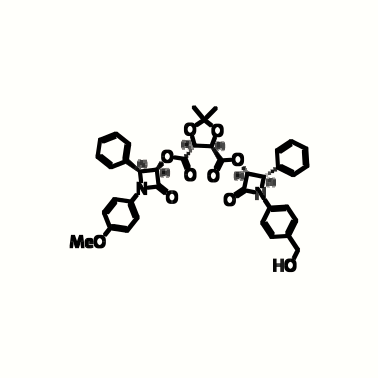 COc1ccc(N2C(=O)[C@H](OC(=O)[C@@H]3OC(C)(C)O[C@H]3C(=O)O[C@H]3C(=O)N(c4ccc(CO)cc4)[C@H]3c3ccccc3)[C@@H]2c2ccccc2)cc1